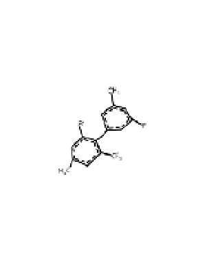 Cc1cc(F)cc(-c2c(C(C)C)cc(C)cc2C(F)(F)F)c1